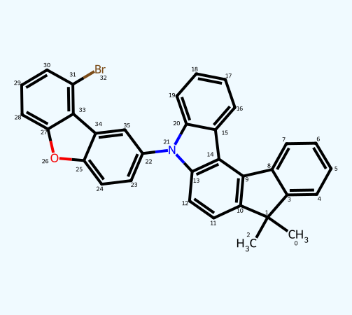 CC1(C)c2ccccc2-c2c1ccc1c2c2ccccc2n1-c1ccc2oc3cccc(Br)c3c2c1